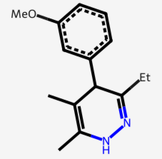 CCC1=NNC(C)=C(C)C1c1cccc(OC)c1